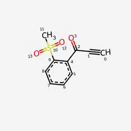 C#CC(=O)c1ccccc1S(C)(=O)=O